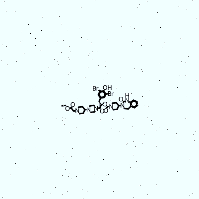 CCOC(=O)CN1CCC(N2CCN(C(=O)[C@@H](Cc3cc(Br)c(O)c(Br)c3)OC(=O)N3CCC(N4CCc5ccccc5NC4=O)CC3)CC2)CC1